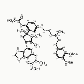 CCCCCCCC[S+]([O-])C(C)Cc1ccc2c(c1)OCO2.COc1ccc(CCN(C)CCCOc2ccc(OC(=O)C(=O)O)c(C3(C)CC=C(C)N3C)c2)cc1OC